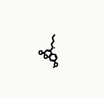 CCCC[CH]c1cc(=O)oc2cc(OC)ccc12